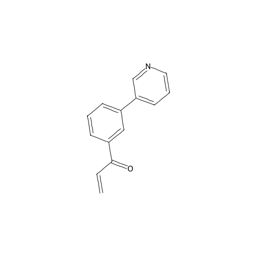 C=CC(=O)c1cccc(-c2cccnc2)c1